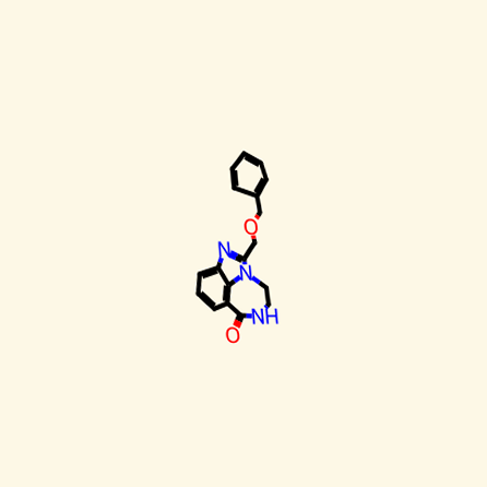 O=C1NCCn2c(COCc3ccccc3)nc3cccc1c32